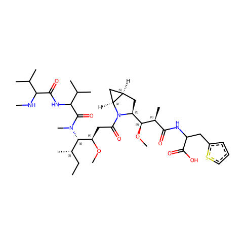 CC[C@H](C)[C@@H]([C@@H](CC(=O)N1[C@H]2C[C@H]2C[C@H]1[C@H](OC)[C@@H](C)C(=O)NC(Cc1cccs1)C(=O)O)OC)N(C)C(=O)C(NC(=O)C(NC)C(C)C)C(C)C